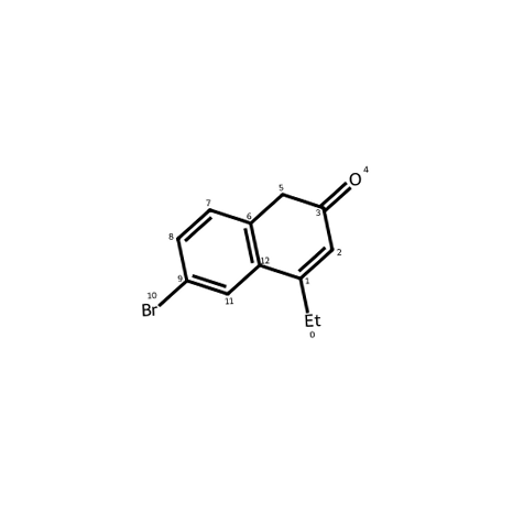 CCC1=CC(=O)Cc2ccc(Br)cc21